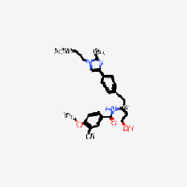 CC(=O)NCCn1cc(-c2ccc(C[C@@H](CCO)NC(=O)c3ccc(OC(C)C)c(C#N)c3)cc2)nc1C(C)(C)C